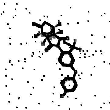 O=C1C[C@@H]2CC[C@H]1[C@@H]1C(=O)N(c3ccc(Oc4ccc(Cl)cc4)cc3C(F)(F)F)C(=O)[C@H]21